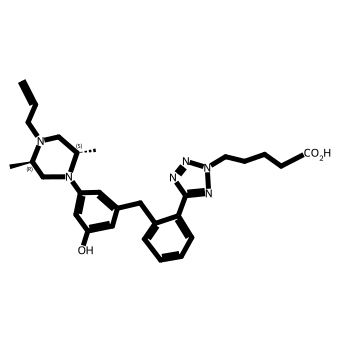 C=CCN1C[C@H](C)N(c2cc(O)cc(Cc3ccccc3-c3nnn(CCCCC(=O)O)n3)c2)C[C@H]1C